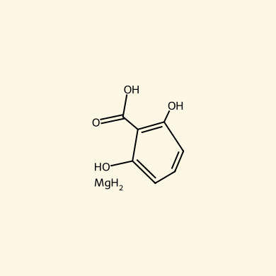 O=C(O)c1c(O)cccc1O.[MgH2]